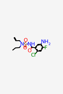 C=CCN(CCC)S(=O)(=O)NC(=O)c1cc(N)c(F)cc1Cl